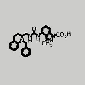 Cc1nn(C(=O)O)c2cccc(NC(=O)NCC3CCc4ccccc4N3Cc3ccccc3)c12